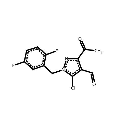 CC(=O)c1nn(Cc2cc(F)ccc2F)c(Cl)c1C=O